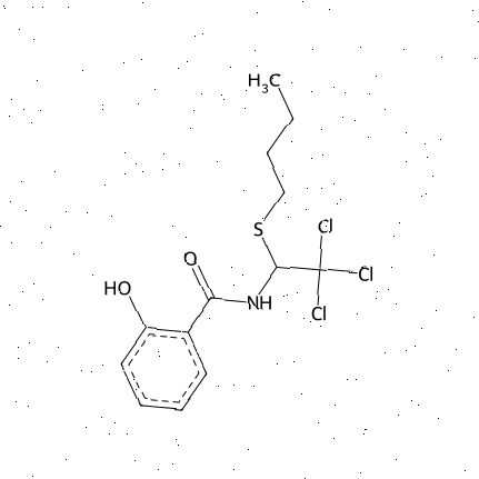 CCCCSC(NC(=O)c1ccccc1O)C(Cl)(Cl)Cl